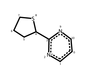 c1cnc(C2CCCS2)nc1